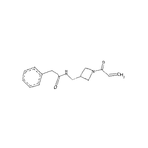 C=CC(=O)N1CC(CNC(=O)Cc2ccccc2)C1